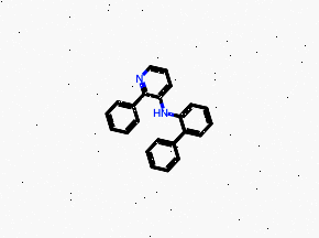 c1ccc(-c2ccccc2Nc2cccnc2-c2ccccc2)cc1